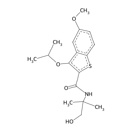 COc1ccc2sc(C(=O)NC(C)(C)CO)c(OC(C)C)c2c1